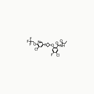 CCC(=O)NC(=O)c1cc(Cl)c(F)cc1OC1CN(c2cnc(OCC(F)(F)F)c(Cl)c2)C1